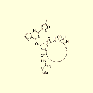 Cc1cc(-c2nc(O[C@@H]3C[C@H]4C(=O)N[C@]5(C(=O)O)C[C@H]5/C=C\CCCCC[C@H](NC(=O)OC(C)(C)C)C(=O)N4C3)c3sccc3n2)no1